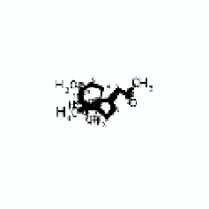 CC(=O)C=C1CC[C@H]2C(C)(C)[C@@H]3C[C@]12CC[C@H]3C